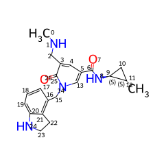 CNCc1cc(C(=O)N[C@H]2C[C@@H]2C)cn(Cc2cccc3c2CCN3)c1=O